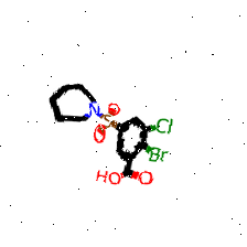 O=C(O)c1cc(S(=O)(=O)N2CCCCCC2)cc(Cl)c1Br